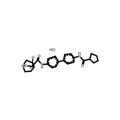 Cl.O=C(Nc1ccc(-c2ccc(NC(=O)[C@H]3CN4CCC3CC4)cc2)cc1)C1CCCC1